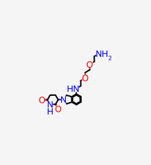 NCCOCCOCCNc1cccc2c1CN(C1CCC(=O)NC1=O)C2